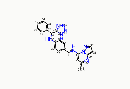 CCc1cc(NCc2ccc(NC(c3ccccc3)c3nnn[nH]3)cc2)n2nccc2n1